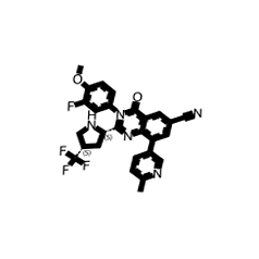 COc1ccc(-n2c([C@@H]3C[C@H](C(F)(F)F)CN3)nc3c(-c4ccc(C)nc4)cc(C#N)cc3c2=O)cc1F